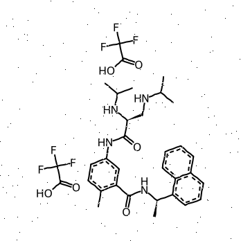 Cc1ccc(NC(=O)[C@H](CNC(C)C)NC(C)C)cc1C(=O)N[C@H](C)c1cccc2ccccc12.O=C(O)C(F)(F)F.O=C(O)C(F)(F)F